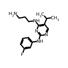 CC(C)c1cnc(Nc2cccc(F)c2)nc1NCCCN